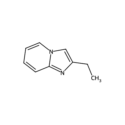 CCc1cn2ccccc2n1